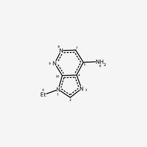 CCn1cnc2c(N)cnnc21